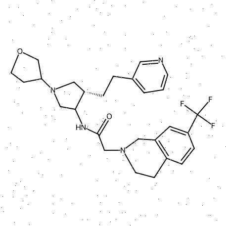 O=C(CN1CCc2ccc(C(F)(F)F)cc2C1)NC1CN(C2CCOC2)C[C@@H]1CCc1cccnc1